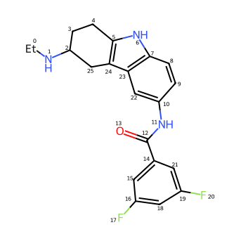 CCNC1CCc2[nH]c3ccc(NC(=O)c4cc(F)cc(F)c4)cc3c2C1